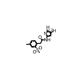 [2H]c1cc(NC(=O)Cc2ccc(C)cc2S(C)(=O)=O)n[nH]1